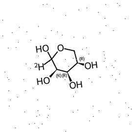 [2H]C1(O)OC[C@@H](O)[C@@H](O)[C@H]1O